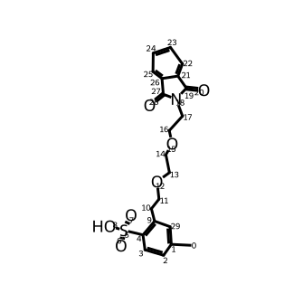 Cc1ccc(S(=O)(=O)O)c(CCOCCOCCN2C(=O)c3ccccc3C2=O)c1